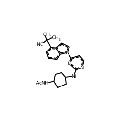 CC(=O)NC1CCC(Nc2nccc(-n3ccc4c(C(C)(C)C#N)cccc43)n2)CC1